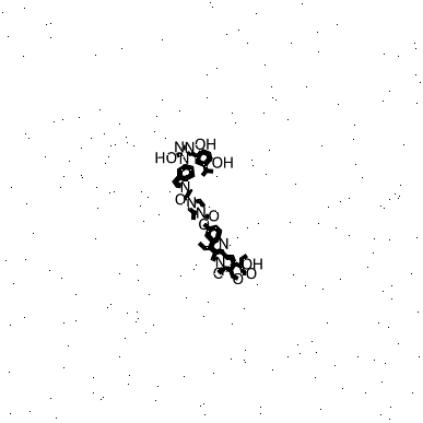 CCc1c2c(nc3ccc(OC(=O)N4CCN(C(=O)Cn5ccc6cc(-n7c(O)nnc7-c7cc(C(C)C)c(O)cc7O)ccc65)CC4C)cc13)-c1cc3c(c(=O)n1C2)COC(=O)C3(O)CC